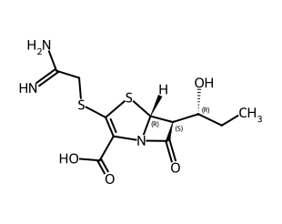 CC[C@@H](O)[C@H]1C(=O)N2C(C(=O)O)=C(SCC(=N)N)S[C@H]12